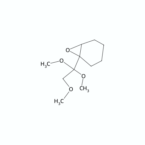 COCC(OC)(OC)C12CCCCC1O2